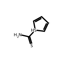 NC(=S)[SH]1C=[C]C=C1